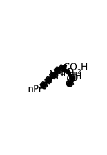 CCC[C@H]1CC[C@H](C2CC=C(c3cnc(-c4ccc(CN(CC(=O)O)C(=O)CNC(=O)CNS(=O)(=O)Cc5ccccc5)cc4)nc3)CC2)CC1